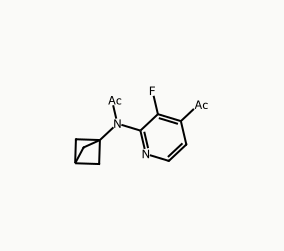 [CH2]C(=O)c1ccnc(N(C(C)=O)C23CC(C2)C3)c1F